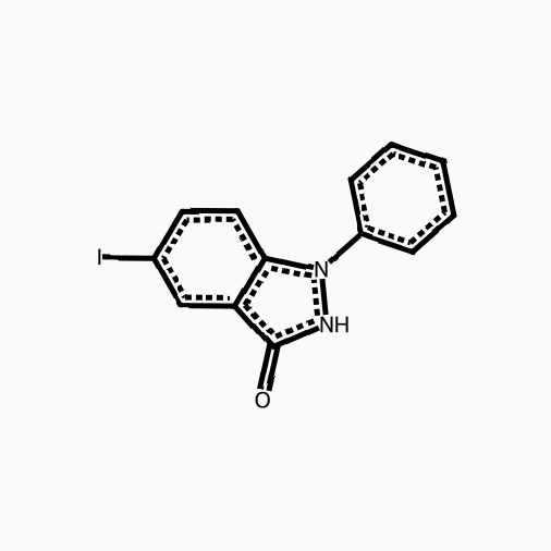 O=c1[nH]n(-c2ccccc2)c2ccc(I)cc12